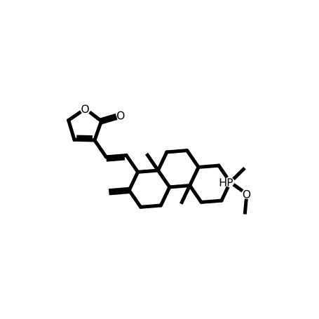 C=C1CCC2C3(C)CC[PH](C)(OC)CC3CCC2(C)C1/C=C/C1=CCOC1=O